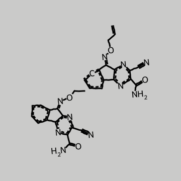 C=CCON=C1c2ccccc2-c2nc(C(N)=O)c(C#N)nc21.CCON=C1c2ccccc2-c2nc(C(N)=O)c(C#N)nc21